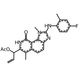 C=CC(OC(C)=O)c1[nH]c(=O)c2c(ccc3nc(Nc4ccc(F)cc4C)n(C)c32)c1C